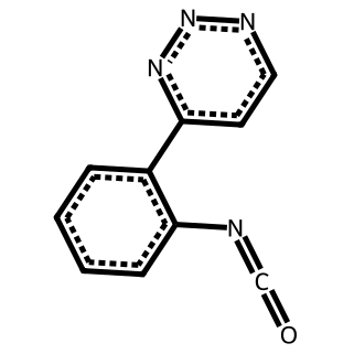 O=C=Nc1ccccc1-c1ccnnn1